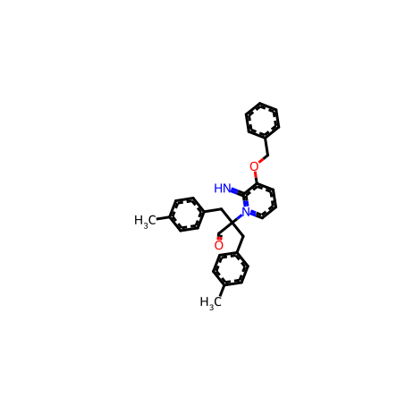 Cc1ccc(CC(C=O)(Cc2ccc(C)cc2)n2cccc(OCc3ccccc3)c2=N)cc1